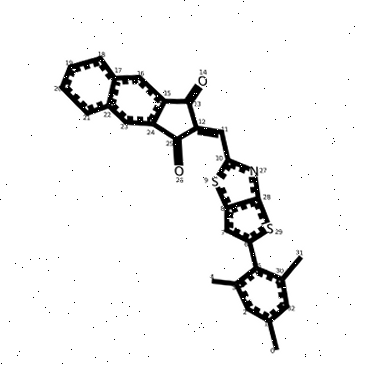 Cc1cc(C)c(-c2cc3sc(C=C4C(=O)c5cc6ccccc6cc5C4=O)nc3s2)c(C)c1